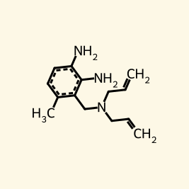 C=CCN(CC=C)Cc1c(C)ccc(N)c1N